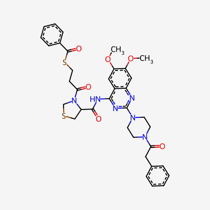 COc1cc2nc(N3CCN(C(=O)Cc4ccccc4)CC3)nc(NC(=O)C3CSCN3C(=O)CCSC(=O)c3ccccc3)c2cc1OC